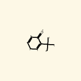 CC(C)(C)C1=CCC=CC1=O